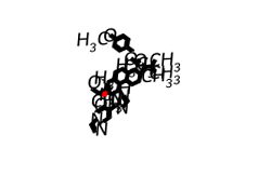 COc1ccc(COC(=O)[C@@H]2[C@@](C)([C@H](C)C(C)C)CC[C@]3(C)[C@H]4CC[C@@H]5[C@@]6(COC[C@]5(C)[C@@H](O)[C@H](n5ncnc5-c5ccn7ccnc7c5)C6)C4=CC[C@@]23C)cc1